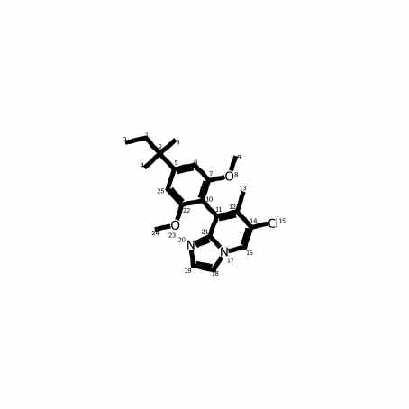 CCC(C)(C)c1cc(OC)c(-c2c(C)c(Cl)cn3ccnc23)c(OC)c1